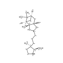 CC1(C)[C@H]2C[C@@H]3OB(CCC[C@]4(C)CCN[C@@H]4C(=O)O)O[C@]3(C)[C@@H]1C2